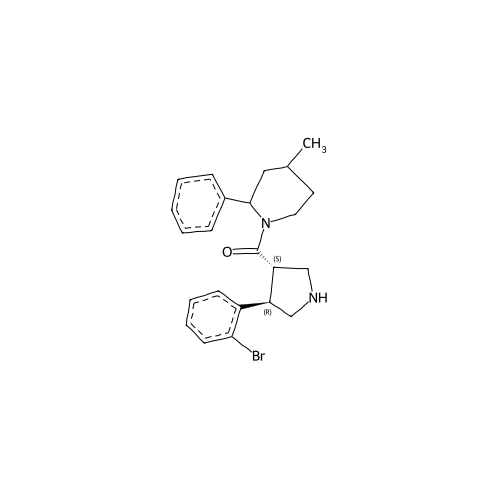 CC1CCN(C(=O)[C@@H]2CNC[C@H]2c2ccccc2Br)C(c2ccccc2)C1